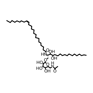 CCCCCCCC/C=C\CCCCCCCCCCCCCC(=O)N[C@@H](COC1OC(CNC(C)=O)C(O)C(O)C1O)C(O)C(O)CCCCCCCCCCCCCC